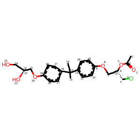 CC(=O)O[C@H](CCl)COc1ccc(C(C)(C)c2ccc(OC[C@@H](O)CO)cc2)cc1